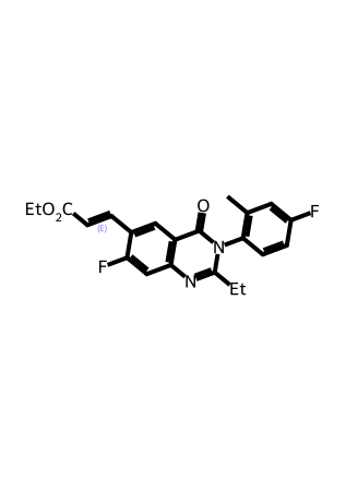 CCOC(=O)/C=C/c1cc2c(=O)n(-c3ccc(F)cc3C)c(CC)nc2cc1F